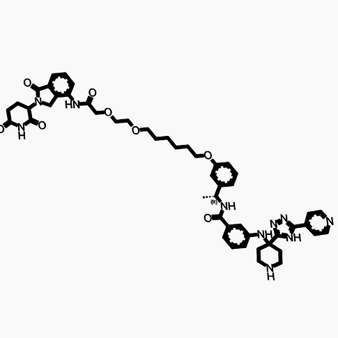 C[C@@H](NC(=O)c1cccc(NC2(c3nnc(-c4ccncc4)[nH]3)CCNCC2)c1)c1cccc(OCCCCCCOCCOCC(=O)Nc2cccc3c2CN(C2CCC(=O)NC2=O)C3=O)c1